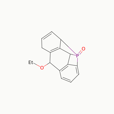 CCOC1C2=C3C(C=CC2)P2(=O)c4cccc1c4C32